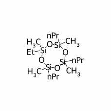 CCC[Si]1(C)O[Si](C)(CC)O[Si](C)(CCC)O[Si](C)(CCC)O1